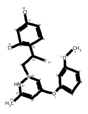 COc1cccc(OC2=CN(CC(F)c3ccc(Cl)cc3Cl)NC(C)=C2)c1